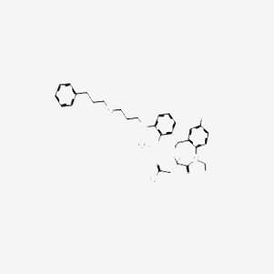 COc1c(OCCCNCCCc2ccccc2)cccc1[C@H]1O[C@H](CC(N)=O)C(=O)N(CC(C)(C)C)c2ccc(Cl)cc21.Cl